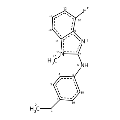 CCc1ccc(Nc2nc3c(F)cccc3n2C)cc1